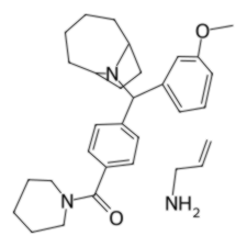 C=CCN.COc1cccc(C(c2ccc(C(=O)N3CCCCC3)cc2)N2C3CCCCC2CC3)c1